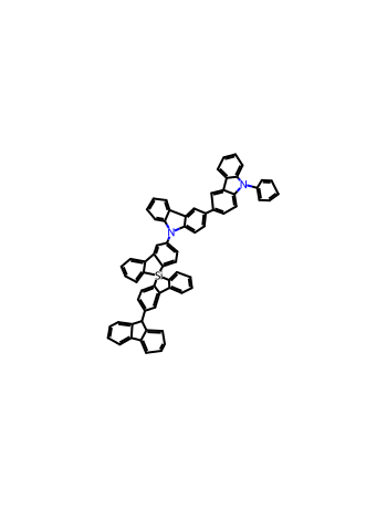 c1ccc(-n2c3ccccc3c3cc(-c4ccc5c(c4)c4ccccc4n5-c4ccc5c(c4)-c4ccccc4[Si]54c5ccccc5-c5cc(C6c7ccccc7-c7ccccc76)ccc54)ccc32)cc1